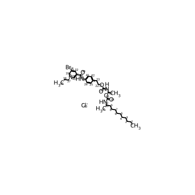 CCCCCCCCCCC(C)NC(=O)OC(C)NC(=O)OCCc1ccc(NC(=O)c2cc(Br)c[n+](CCC)c2)cc1.[Cl-]